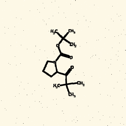 CC(C)(C)OC(=O)N1CCCC1C(=O)C(C)(C)C